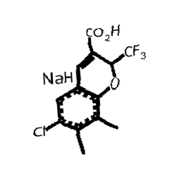 Cc1c(Cl)cc2c(c1C)OC(C(F)(F)F)C(C(=O)O)=C2.[NaH]